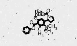 CCCCOc1cc(C2CCCN2C(=O)OC(C)(C)C)c(N(C)C)c(C)c1C(=O)Oc1ccccc1